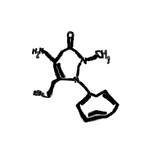 Cn1c(=O)c(N)c(C(C)(C)C)n1-c1ccccc1